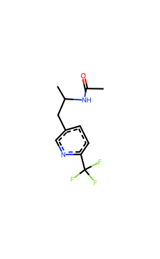 CC(=O)NC(C)Cc1ccc(C(F)(F)F)nc1